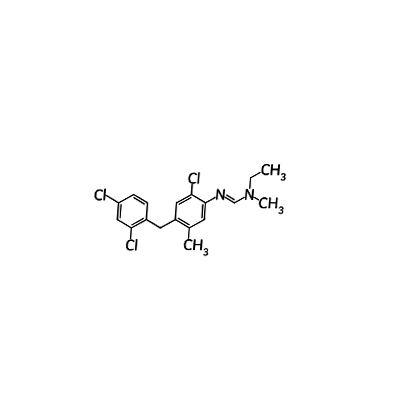 CCN(C)C=Nc1cc(C)c(Cc2ccc(Cl)cc2Cl)cc1Cl